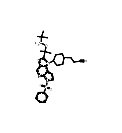 CC(C)(C)[SiH2]OC(C)(C)c1nc2cnc3c(ccn3S(=O)(=O)c3ccccc3)c2n1C1CCC(CCC#N)CC1